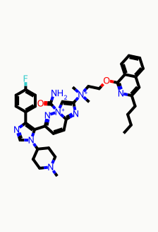 CCCCc1cc2ccccc2c(OCC[N+](C)(C)C2=C[N+]3(C(N)=O)N=C(c4c(-c5ccc(F)cc5)ncn4C4CCN(C)CC4)C=CC3=N2)n1